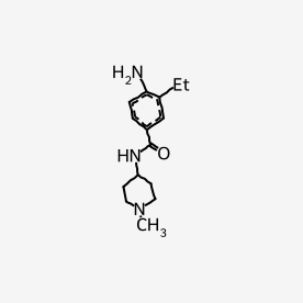 CCc1cc(C(=O)NC2CCN(C)CC2)ccc1N